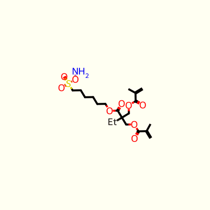 C=C(C)C(=O)OCC(CC)(COC(=O)C(=C)C)C(=O)OCCCCCCS(=O)(=O)ON